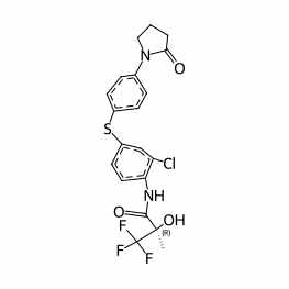 C[C@@](O)(C(=O)Nc1ccc(Sc2ccc(N3CCCC3=O)cc2)cc1Cl)C(F)(F)F